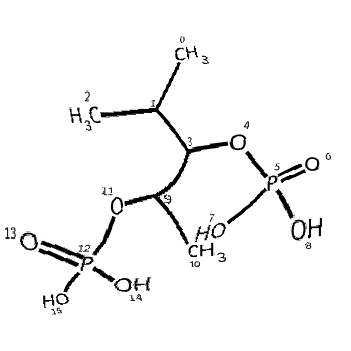 CC(C)C(OP(=O)(O)O)C(C)OP(=O)(O)O